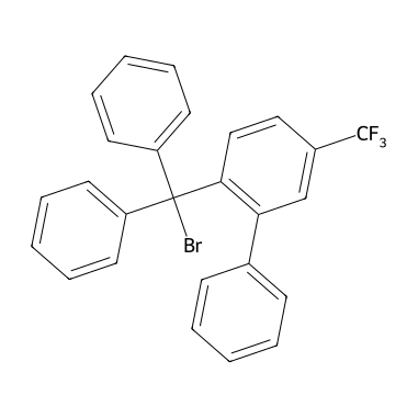 FC(F)(F)c1ccc(C(Br)(c2ccccc2)c2ccccc2)c(-c2ccccc2)c1